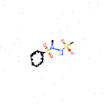 CN(NS(C)(=O)=O)S(=O)(=O)c1ccccc1